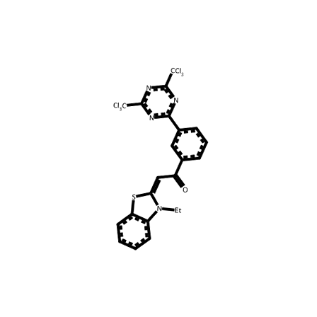 CCN1C(=CC(=O)c2cccc(-c3nc(C(Cl)(Cl)Cl)nc(C(Cl)(Cl)Cl)n3)c2)Sc2ccccc21